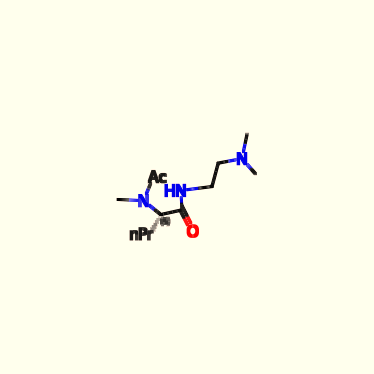 CCC[C@@H](C(=O)NCCN(C)C)N(C)C(C)=O